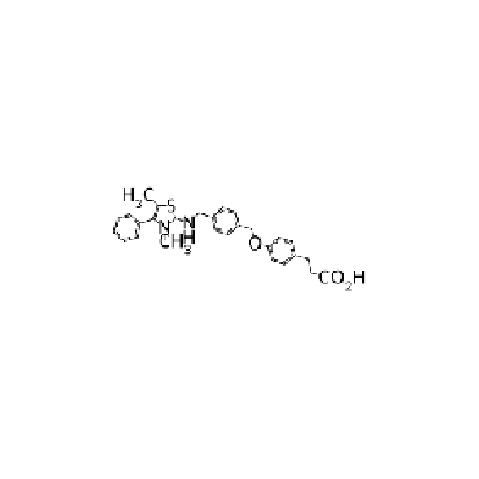 CC1=C(c2ccccc2)N(C)C(NCc2ccc(COc3ccc(CCC(=O)O)cc3)cc2)S1